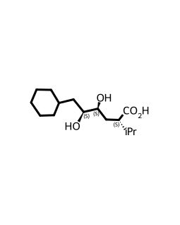 CC(C)[C@H](C[C@H](O)[C@@H](O)CC1CCCCC1)C(=O)O